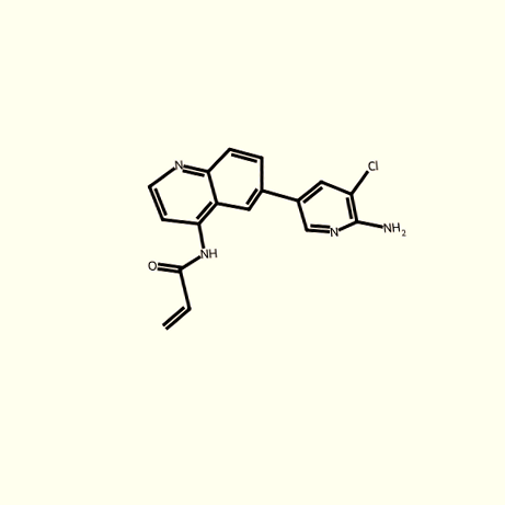 C=CC(=O)Nc1ccnc2ccc(-c3cnc(N)c(Cl)c3)cc12